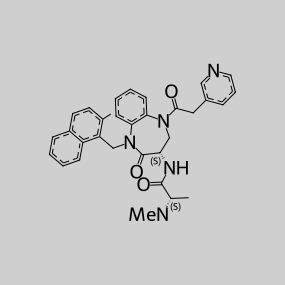 CN[C@@H](C)C(=O)N[C@H]1CN(C(=O)Cc2cccnc2)c2ccccc2N(Cc2c(C)ccc3ccccc23)C1=O